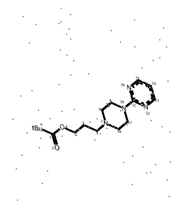 CC(C)(C)C(=O)OCCCN1CCN(c2ncccn2)CC1